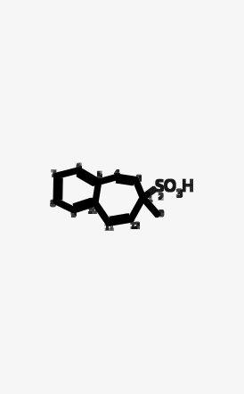 CC1(S(=O)(=O)O)C=Cc2ccccc2C=C1